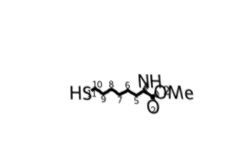 COC(=O)C(N)CCCCCCS